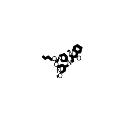 CCCCOC(=O)N1CCCC(N(Cc2ccnc(OC)c2)Cc2cn(C)c3ccccc3c2=O)C1